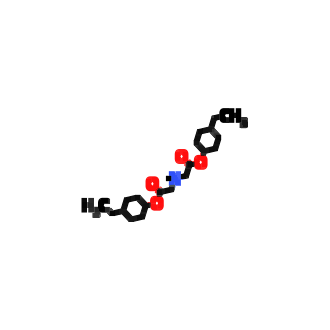 CCC1CCC(OC(=O)C[N]CC(=O)OC2CCC(CC)CC2)CC1